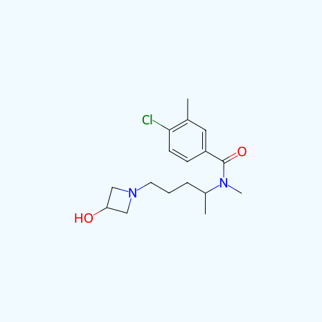 Cc1cc(C(=O)N(C)C(C)CCCN2CC(O)C2)ccc1Cl